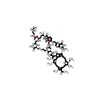 CC[C@H]1c2cc3[nH]c4c(c3C)C(=O)C(C(=O)OC)c4c3nc(cc4[nH]c(cc(n2)[C@@H]1C)c(C(C)=O)c4C)[C@@H](C)[C@@H]3CCC(=O)N[C@@H](CC(=O)NCCS(=O)(=O)O)C(=O)NCCSSC[C@H](NC(=O)[C@H](CC(=O)NCCS(=O)(=O)O)NC(=O)CC[C@@H](C)NC(=O)c1ccc(NCc2cnc3nc(N)[nH]c(=O)c3n2)cc1)C(=O)O